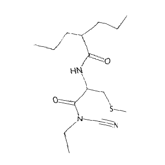 CCCC(CCC)C(=O)NC(CSC)C(=O)N(C#N)CC